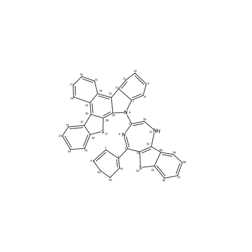 C1=CC(C2=NC(n3c4ccccc4c4c5ccccc5c5c6ccccc6sc5c43)=CNc3c2sc2ccccc32)=CCC1